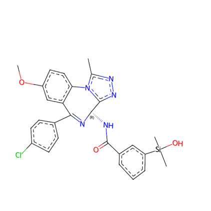 COc1ccc2c(c1)C(c1ccc(Cl)cc1)=N[C@@H](NC(=O)c1cccc([Si](C)(C)O)c1)c1nnc(C)n1-2